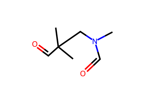 CN(C=O)CC(C)(C)C=O